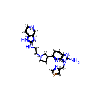 Nc1nc2ccc(C3CCN(CCNc4nc5cnccc5[nH]4)C3)nc2n1Cc1cscn1